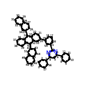 c1ccc(-c2cc(-c3ccccc3)nc(-c3cccc(-c4ccc5c(-c6ccc7ccccc7c6)c6ccccc6c(-c6ccc7ccccc7c6)c5c4)c3)n2)cc1